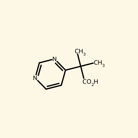 CC(C)(C(=O)O)c1ccncn1